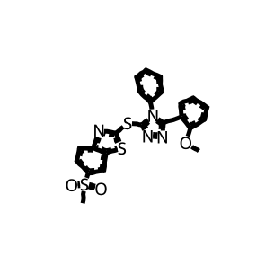 COc1ccccc1-c1nnc(Sc2nc3ccc(S(C)(=O)=O)cc3s2)n1-c1ccccc1